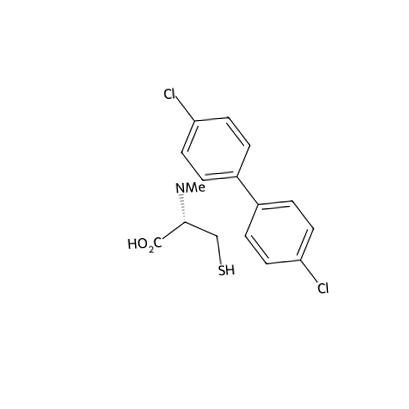 CN[C@H](CS)C(=O)O.Clc1ccc(-c2ccc(Cl)cc2)cc1